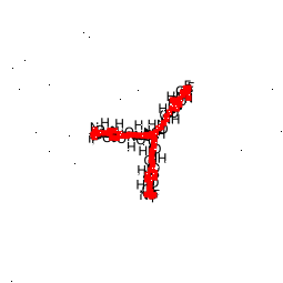 N#C[C@@H]1CC(F)(F)CN1C(=O)CNC(=O)c1ccnc2c(NC(=O)CCC(=O)NCCNC(=O)CCOCC(COCCC(=O)NCCNC(=O)CCC(=O)Nc3cccc4c(C(=O)NCC(=O)N5CC(F)(F)C[C@H]5C#N)ccnc34)(COCCC(=O)NCCNC(=O)CCC(=O)Nc3cccc4c(C(=O)NCC(=O)N5CC(F)(F)C[C@H]5C#N)ccnc34)NC3CC3)cccc12